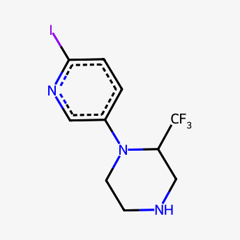 FC(F)(F)C1CNCCN1c1ccc(I)nc1